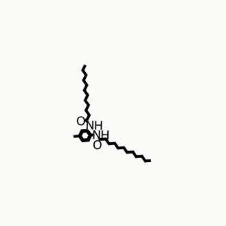 CCCCCCCCCCCC(=O)Nc1ccc(C)cc1NC(=O)CCCCCCCCCCC